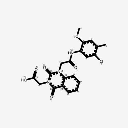 COc1cc(C)c(Cl)cc1NC(=O)Cn1c(=O)n(CC(=O)O)c(=O)c2ccccc21